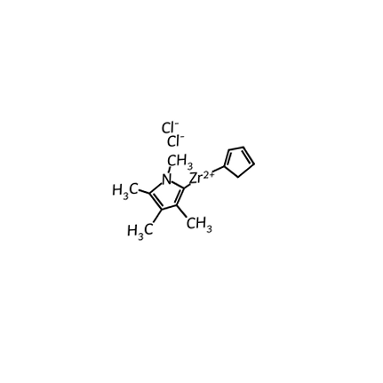 Cc1c(C)[c]([Zr+2][C]2=CC=CC2)n(C)c1C.[Cl-].[Cl-]